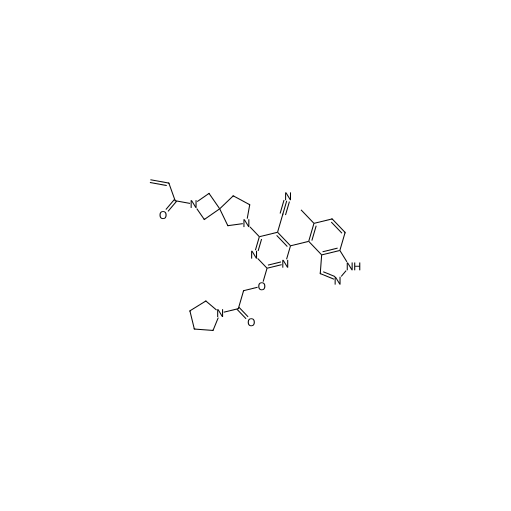 C=CC(=O)N1CC2(CCN(c3nc(OCC(=O)N4CCCC4)nc(-c4c(C)ccc5[nH]ncc45)c3C#N)C2)C1